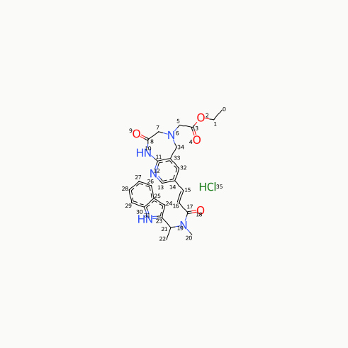 CCOC(=O)CN1CC(=O)Nc2ncc(C=CC(=O)N(C)C(C)c3cc4ccccc4[nH]3)cc2C1.Cl